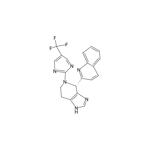 FC(F)(F)c1cnc(N2CCc3[nH]cnc3[C@H]2c2ccc3ccccc3n2)nc1